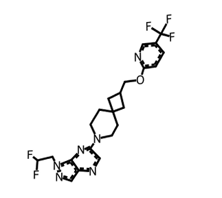 FC(F)Cn1ncc2ncc(N3CCC4(CC3)CC(COc3ccc(C(F)(F)F)cn3)C4)nc21